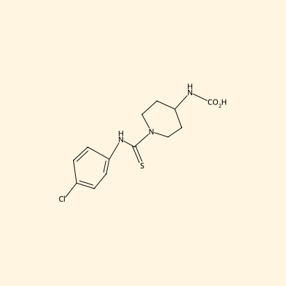 O=C(O)NC1CCN(C(=S)Nc2ccc(Cl)cc2)CC1